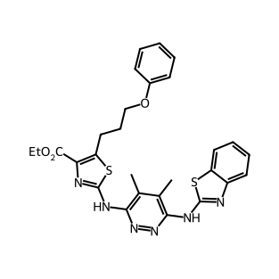 CCOC(=O)c1nc(Nc2nnc(Nc3nc4ccccc4s3)c(C)c2C)sc1CCCOc1ccccc1